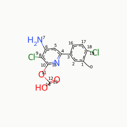 Cc1cc(-c2cc(N)c(Cl)c(OC(=O)O)n2)ccc1Cl